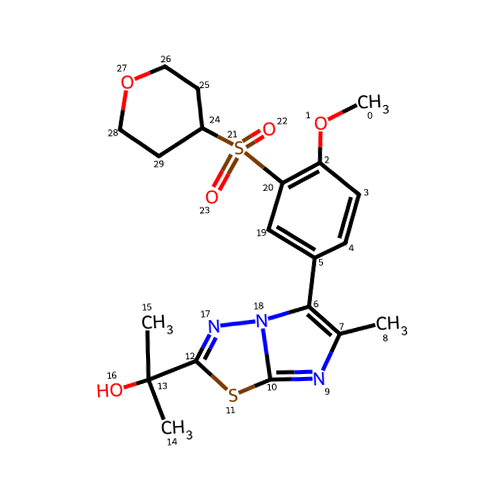 COc1ccc(-c2c(C)nc3sc(C(C)(C)O)nn23)cc1S(=O)(=O)C1CCOCC1